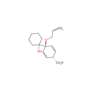 C=CCO[C@]1(C2(O)CCCCC2)C=C[C@@H](C(=O)O)C=C1